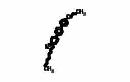 CCCCCCCCCC1(C#N)CCC(c2ccc(-c3ccc(OCCCC)cc3)cc2)CC1